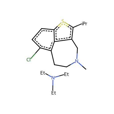 CC(C)c1sc2ccc(Cl)c3c2c1CN(C)CC3.CCN(CC)CC